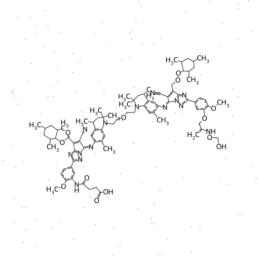 C=C(COc1cc(-c2nc3n(n2)/C(=N/c2cc4c(cc2C)N(CCOCCN2c5cc(C)c(/N=C6\C(C#N)=C(C(=O)OC7C(C)CC(C)CC7C)c7nc(-c8ccc(OC)c(NC(=O)CCC(=O)O)c8)nn76)cc5C(C)CC2(C)C)C(C)(C)CC4C)C(C#N)=C3COOC2C(C)CC(C)CC2C)ccc1OC)NOCO